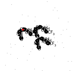 O=C(Nc1cccc(C(F)(F)F)c1)Nc1ccc(Oc2ccc3ncc(N4CCOCC4)nc3c2)c(F)c1.O=C(Nc1cccc(C(F)(F)F)c1)Nc1ccc(Oc2ccc3ncc(N4CCOCC4)nc3c2)cc1F.O=C(Nc1cccc(Cl)c1)Nc1ccc(Oc2ccc3ncc(N4CCOCC4)nc3c2)c(F)c1